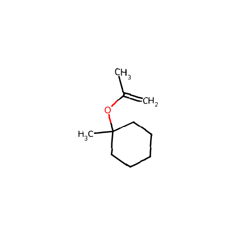 C=C(C)OC1(C)CCCCC1